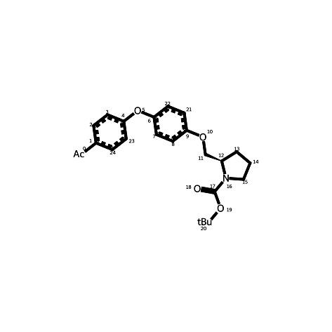 CC(=O)c1ccc(Oc2ccc(OC[C@H]3CCCN3C(=O)OC(C)(C)C)cc2)cc1